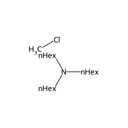 CCCCCCN(CCCCCC)CCCCCC.CCl